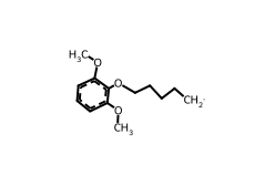 [CH2]CCCCOc1c(OC)cccc1OC